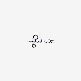 C=C\C(=C/C=C(C)/C(C1=C/C=C(/O)CC#CC\1)=C(/CCCO)c1ccccc1)OCCN1CCC2(CCNC2)C1